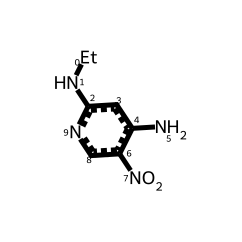 [CH2]CNc1cc(N)c([N+](=O)[O-])cn1